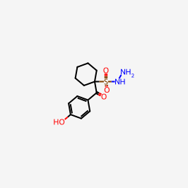 NNS(=O)(=O)C1(C(=O)c2ccc(O)cc2)CCCCC1